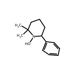 CC1(C)CCCC(c2ccccc2)N1O